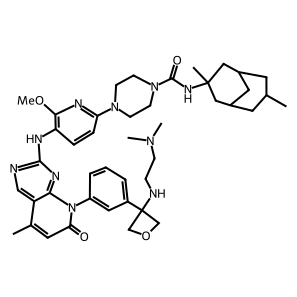 COc1nc(N2CCN(C(=O)NC3(C)CC4CC(C)CC(C4)C3)CC2)ccc1Nc1ncc2c(C)cc(=O)n(-c3cccc(C4(NCCN(C)C)COC4)c3)c2n1